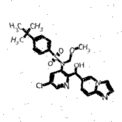 COCN(c1cc(Cl)cnc1C(O)c1ccc2nccn2c1)S(=O)(=O)c1ccc(C(C)(C)C)cc1